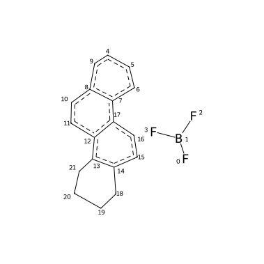 FB(F)F.c1ccc2c(c1)ccc1c3c(ccc12)CCCC3